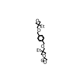 C1COO1.CCC1(COCc2ccc(COCC3(CC)COC3)cc2)COC1